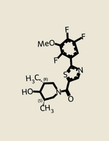 COc1c(F)c(F)cc(-c2ncc(C(=O)N3C[C@@H](C)C(O)[C@@H](C)C3)s2)c1F